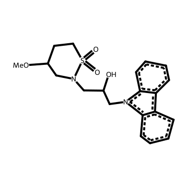 COC1CCS(=O)(=O)N(CC(O)Cn2c3ccccc3c3ccccc32)C1